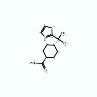 COC(=O)[C@H]1CC[C@H](C(C)(O)c2nccs2)CC1